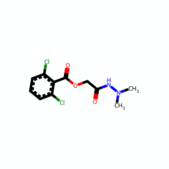 CN(C)NC(=O)COC(=O)c1c(Cl)cccc1Cl